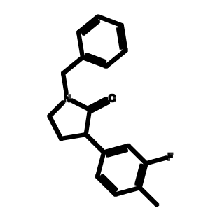 Cc1ccc(C2CCN(Cc3ccccc3)C2=O)cc1F